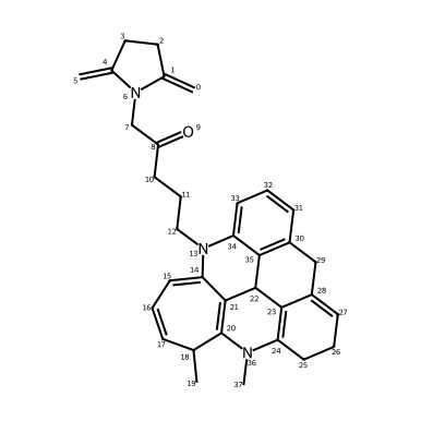 C=C1CCC(=C)N1CC(=O)CCCN1C2=CC=CC(C)C3=C2C2C4=C(CCC=C4Cc4cccc1c42)N3C